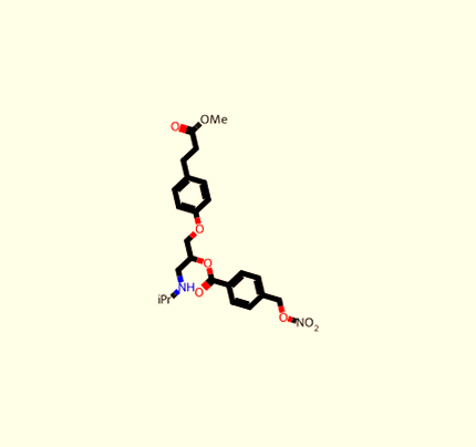 COC(=O)CCc1ccc(OCC(CNC(C)C)OC(=O)c2ccc(CO[N+](=O)[O-])cc2)cc1